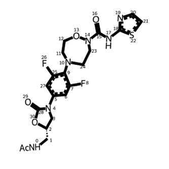 CC(=O)NC[C@H]1CN(c2cc(F)c(N3CCON(C(=O)Nc4nccs4)CC3)c(F)c2)C(=O)O1